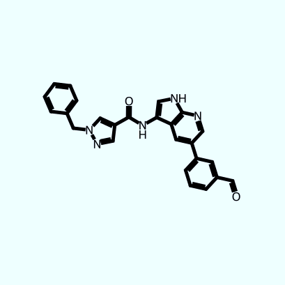 O=Cc1cccc(-c2cnc3[nH]cc(NC(=O)c4cnn(Cc5ccccc5)c4)c3c2)c1